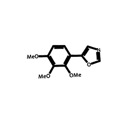 COc1ccc(-c2cnco2)c(OC)c1OC